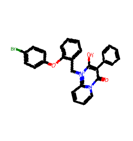 O=c1c(-c2ccccc2)c(O)[n+](Cc2ccccc2Oc2ccc(Br)cc2)c2ccccn12